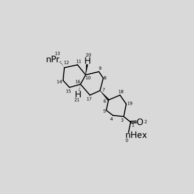 CCCCCCC(=O)C1CCC([C@@H]2CC[C@H]3C[C@@H](CCC)CC[C@@H]3C2)CC1